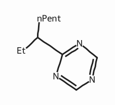 CCCCCC(CC)c1ncncn1